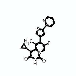 Cc1c(-c2csc(-c3ccccn3)c2)c(F)cn2c(=O)[nH]c(=O)c(C3CC3)c12